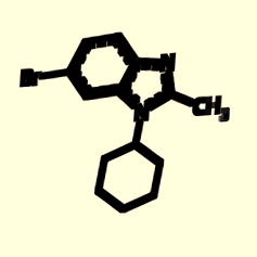 Cc1nc2ccc(Br)cc2n1C1CCCCC1